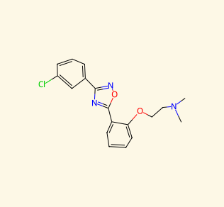 CN(C)CCOc1ccccc1-c1nc(-c2cccc(Cl)c2)no1